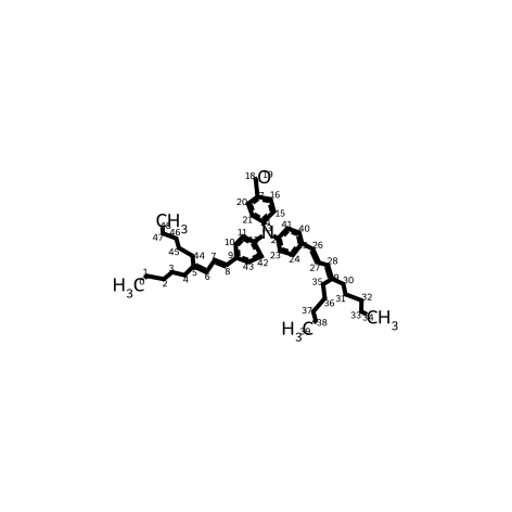 CCCCCC(=CC=Cc1ccc(N(c2ccc(C=O)cc2)c2ccc(C=CC=C(CCCCC)CCCCC)cc2)cc1)CCCCC